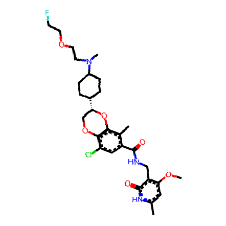 COc1cc(C)[nH]c(=O)c1CNC(=O)c1cc(Cl)c2c(c1C)O[C@@H](C1CCC(N(C)CCOCCF)CC1)CO2